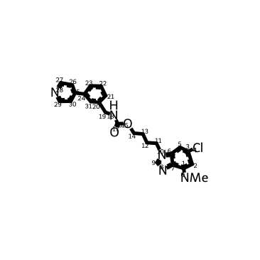 CNc1cc(Cl)cc2c1ncn2CCCCOC(=O)NCc1cccc(-c2ccncc2)c1